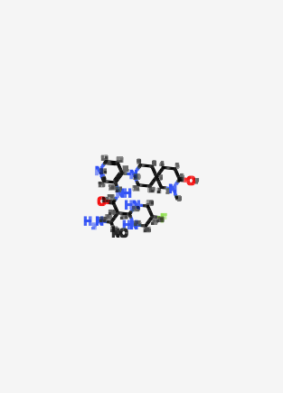 CN1CC2(CCC1=O)CCN(c1ccncc1NC(=O)C(C(N)N=O)C1NCC(F)CN1)CC2